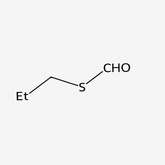 CCCSC=O